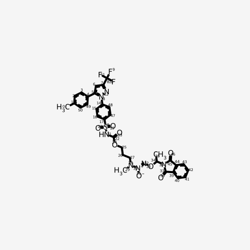 Cc1ccc(-c2cc(C(F)(F)F)nn2-c2ccc(S(=O)(=O)NC(=O)OCCCN(C)[N+]([O-])=NOC(C)N3C(=O)c4ccccc4C3=O)cc2)cc1